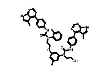 Cc1cc(OCCN(C(=O)Nc2ccc(-c3ncnc4[nH]cc(C)c34)cc2)c2ccccc2C)cc(N(CCO)C(=O)Nc2ccc(-c3ncnc4[nH]cc(C)c34)cc2)c1